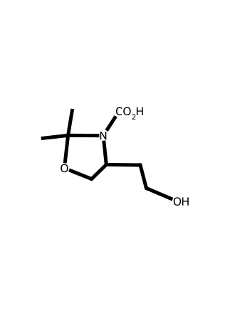 CC1(C)OCC(CCO)N1C(=O)O